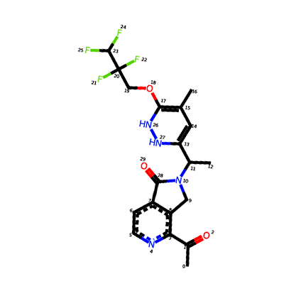 CC(=O)c1nccc2c1CN(C(C)C1=CC(C)=C(OCC(F)(F)C(F)F)NN1)C2=O